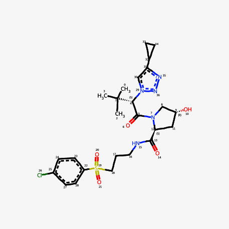 CC(C)(C)[C@@H](C(=O)N1C[C@H](O)C[C@H]1C(=O)NCCCS(=O)(=O)c1ccc(Cl)cc1)n1cc(C2CC2)nn1